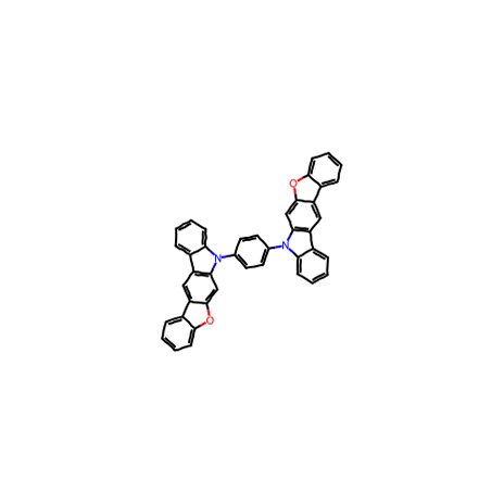 c1ccc2c(c1)oc1cc3c(cc12)c1ccccc1n3-c1ccc(-n2c3ccccc3c3cc4c(cc32)oc2ccccc24)cc1